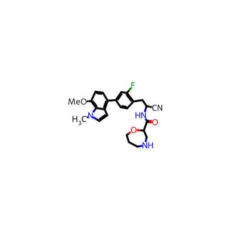 COc1ccc(-c2ccc(CC(C#N)NC(=O)C3CNCCCO3)c(F)c2)c2ccn(C)c12